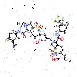 C=C[C@]1(CO)CCc2c(cn(C/C=C/[C@@]3(CO)CCc4c(cn(C)c4C(=O)Nc4ccc(F)c(C#N)c4)S(=O)(=O)N3)c2C(=O)Nc2ccc(F)c(C(F)(F)F)c2)S(=O)(=O)N1